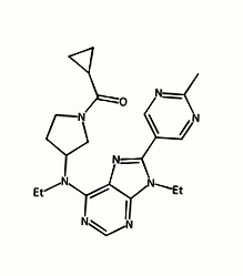 CCN(c1ncnc2c1nc(-c1cnc(C)nc1)n2CC)C1CCN(C(=O)C2CC2)C1